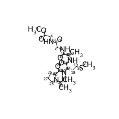 COC(=O)CNC(=O)CNC(=O)[C@H](C)NC(=O)[C@H](CCSC)NC(=O)[C@@H]1CCCN1C(C)C